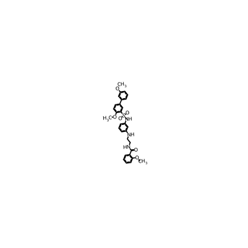 COc1cccc(-c2ccc(OC)c(S(=O)(=O)Nc3cccc(NCCNC(=O)c4ccccc4OC)c3)c2)c1